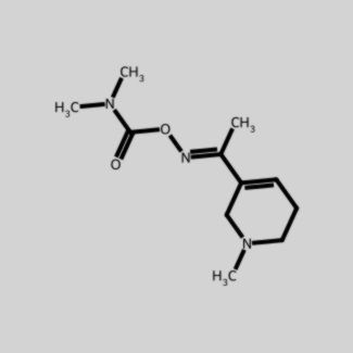 CC(=NOC(=O)N(C)C)C1=CCCN(C)C1